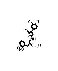 CC(C)c1sc(NCC(Cc2cccc3c2OCO3)C(=O)O)nc1-c1ccc(Cl)c(Cl)c1